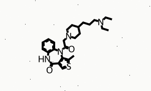 CCN(CC)CCCC1CCN(CC(=O)N2c3ccccc3NC(=O)c3csc(C)c32)CC1